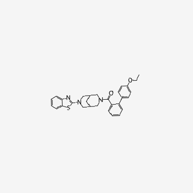 CCOc1ccc(-c2ccccc2C(=O)N2CC3CC(C2)CN(c2nc4ccccc4s2)C3)cc1